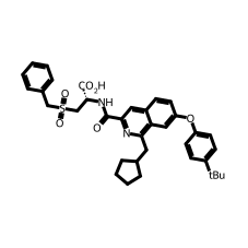 CC(C)(C)c1ccc(Oc2ccc3cc(C(=O)N[C@H](CS(=O)(=O)Cc4ccccc4)C(=O)O)nc(CC4CCCC4)c3c2)cc1